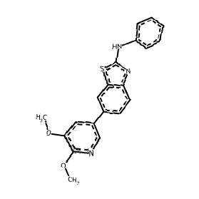 COc1cc(-c2ccc3nc(Nc4ccccc4)sc3c2)cnc1OC